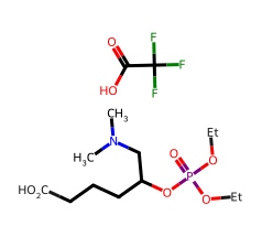 CCOP(=O)(OCC)OC(CCCC(=O)O)CN(C)C.O=C(O)C(F)(F)F